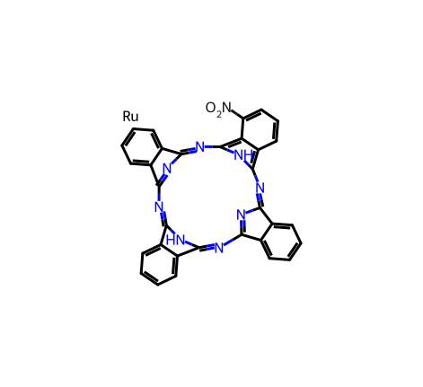 O=[N+]([O-])c1cccc2c3nc4nc(nc5[nH]c(nc6nc(nc([nH]3)c12)-c1ccccc1-6)c1ccccc51)-c1ccccc1-4.[Ru]